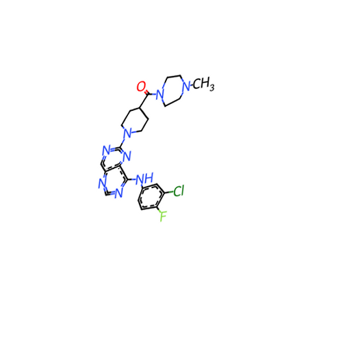 CN1CCN(C(=O)C2CCN(c3ncc4ncnc(Nc5ccc(F)c(Cl)c5)c4n3)CC2)CC1